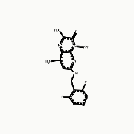 CCCn1c(=O)c(C)nc2c(N)cc(NCc3c(F)cccc3F)nc21